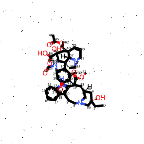 CC[C@]1(O)C[C@H]2CN(CCc3c([nH]c4ccccc34)[C@@](C(=O)OC)(c3c(OC)cc4c(c3C)[C@@]35CCN6CC=C[C@@](CC)([C@@H](OC(C)=O)[C@](O)(C(=O)O)[C@@H]3N4C=O)[C@H]65)C2)C1